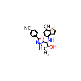 C[C@@H](O)[C@@H](Nc1ccc(C#N)c2sccc12)C1NN=C(c2ccc(C#N)cc2)O1